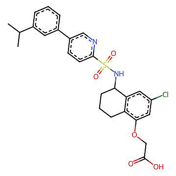 CC(C)c1cccc(-c2ccc(S(=O)(=O)NC3CCCc4c(OCC(=O)O)cc(Cl)cc43)nc2)c1